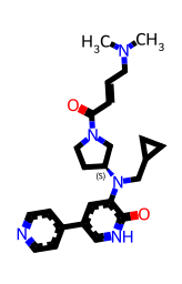 CN(C)CC=CC(=O)N1CC[C@H](N(CC2CC2)c2cc(-c3ccncc3)c[nH]c2=O)C1